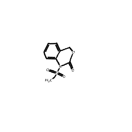 CS(=O)(=O)N1C(=O)OCc2ccccc21